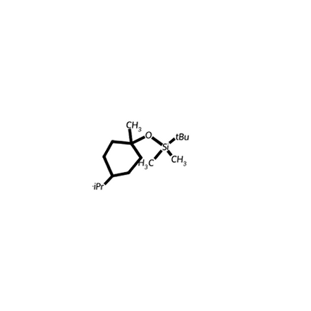 C[C](C)C1CCC(C)(O[Si](C)(C)C(C)(C)C)CC1